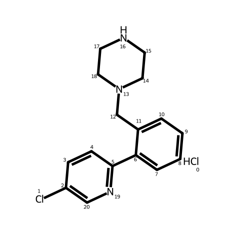 Cl.Clc1ccc(-c2ccccc2CN2CCNCC2)nc1